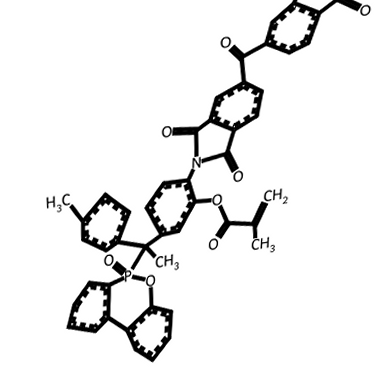 C=C(C)C(=O)Oc1cc(C(C)(c2ccc(C)cc2)P2(=O)Oc3ccccc3-c3ccccc32)ccc1N1C(=O)c2ccc(C(=O)c3ccc4c(c3)C(=O)N(C)C4=O)cc2C1=O